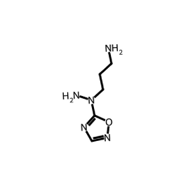 NCCCN(N)c1ncno1